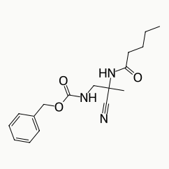 CCCCC(=O)NC(C)(C#N)CNC(=O)OCc1ccccc1